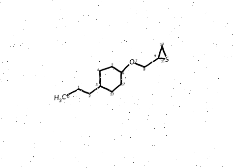 CCCC1CCC(OCC2CS2)CC1